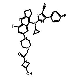 N#Cc1sc(N(c2c3c(nc4c(F)cc(N5CCN(CC(=O)N6CC(O)C6)CC5)cc24)CCC3)C2CC2)nc1-c1ccc(F)cc1